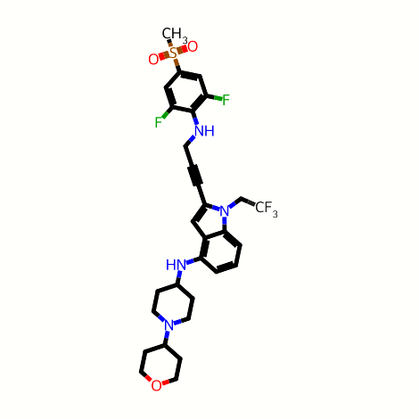 CS(=O)(=O)c1cc(F)c(NCC#Cc2cc3c(NC4CCN(C5CCOCC5)CC4)cccc3n2CC(F)(F)F)c(F)c1